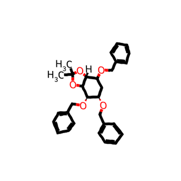 CC1(C)OC2[C@H](O1)C(OCc1ccccc1)C[C@H](OCc1ccccc1)[C@@H]2OCc1ccccc1